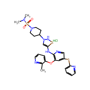 Cc1ncccc1Oc1cc(Sc2ccccn2)cnc1NC1=CN(C2CCN(S(=O)(=O)N(C)C)CC2)NS1.Cl